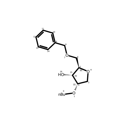 CCCCO[C@H]1CO[C@H](COCc2ccccc2)[C@H]1O